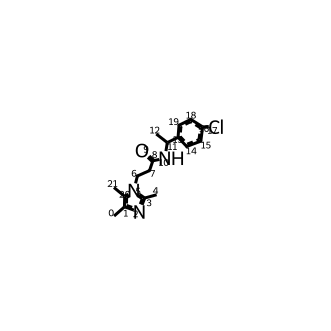 Cc1nc(C)n(CCC(=O)NC(C)c2ccc(Cl)cc2)c1C